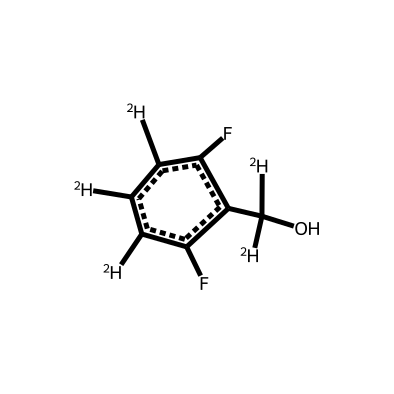 [2H]c1c([2H])c(F)c(C([2H])([2H])O)c(F)c1[2H]